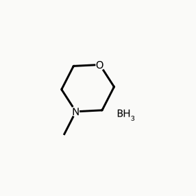 B.CN1CCOCC1